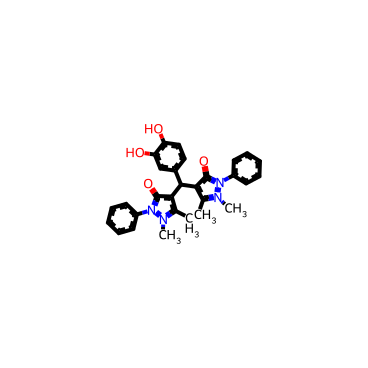 Cc1c(C(c2ccc(O)c(O)c2)c2c(C)n(C)n(-c3ccccc3)c2=O)c(=O)n(-c2ccccc2)n1C